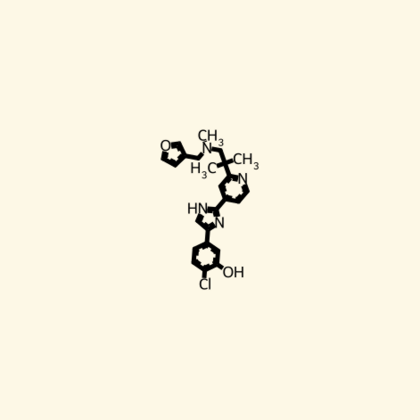 CN(Cc1ccoc1)CC(C)(C)c1cc(-c2nc(-c3ccc(Cl)c(O)c3)c[nH]2)ccn1